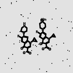 O=C([O-])c1cn(C2CC2)c2cc(N3CCNCC3)c(F)cc2c1=O.O=C([O-])c1cn(C2CC2)c2cc(N3CCNCC3)c(F)cc2c1=O.[Pb+2]